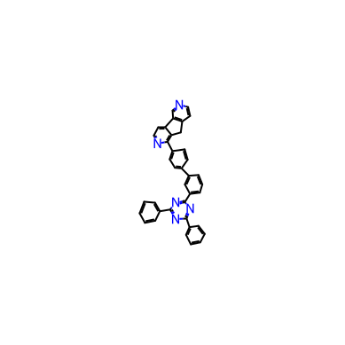 c1ccc(-c2nc(-c3ccccc3)nc(-c3cccc(-c4ccc(-c5nccc6c5Cc5ccncc5-6)cc4)c3)n2)cc1